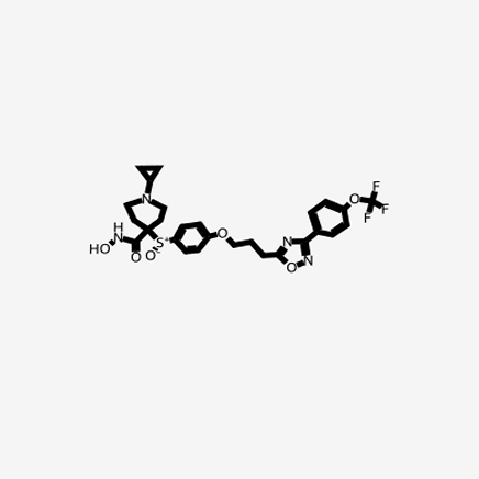 O=C(NO)C1([S+]([O-])c2ccc(OCCCc3nc(-c4ccc(OC(F)(F)F)cc4)no3)cc2)CCN(C2CC2)CC1